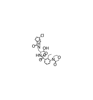 CCc1c(N2CCOCC2=O)cccc1S(=O)(=O)NC(CNC(=O)c1ccc(Cl)s1)C(=O)O